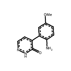 COc1ccc(N)c(-c2ccn[nH]c2=O)c1